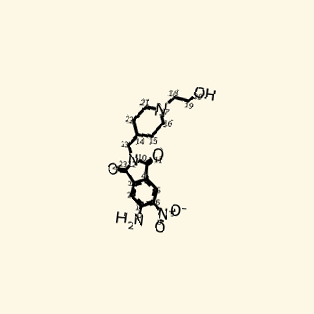 Nc1cc2c(cc1[N+](=O)[O-])C(=O)N(CC1CCN(CCO)CC1)C2=O